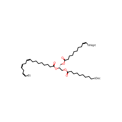 CC/C=C\C/C=C\C/C=C\CCCCCCCC(=O)O[C@H](COC(=O)CCCCCCC/C=C\CCCCCCC)COC(=O)CCCCCCCCCCCCCCCCCC